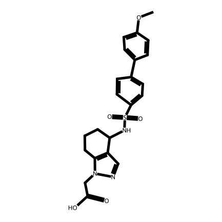 COc1ccc(-c2ccc(S(=O)(=O)NC3CCCc4c3cnn4CC(=O)O)cc2)cc1